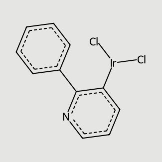 [Cl][Ir]([Cl])[c]1cccnc1-c1ccccc1